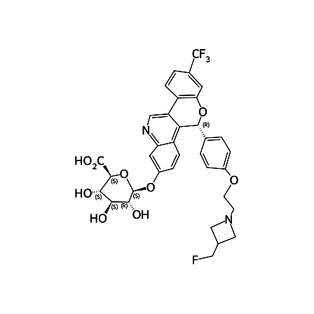 O=C(O)[C@H]1O[C@@H](Oc2ccc3c4c(cnc3c2)-c2ccc(C(F)(F)F)cc2O[C@@H]4c2ccc(OCCN3CC(CF)C3)cc2)[C@H](O)[C@@H](O)[C@@H]1O